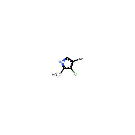 CC(=O)c1c[nH]c(C(=O)O)c1Cl